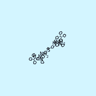 Nc1c(-c2ccc(-c3ccc(-c4ccc(-c5ccc(N(c6ccccc6)c6ccc(C(=C(c7ccccc7)c7ccccc7)c7ccccc7)cc6)c(N)c5N=S)cc4)s3)cc2)ccc(N(c2ccccc2)c2ccc(C(=C(c3ccccc3)c3ccccc3)c3ccccc3)cc2)c1N